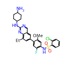 CCc1cc(-c2cc(F)c(NS(=O)(=O)c3ccccc3Cl)cc2OC)cc2cnc(NC3CCC(N)CC3)nc12